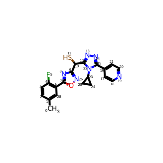 Cc1ccc(F)c(-c2nc(C(S)c3nnc(-c4ccncc4)n3C3CC3)no2)c1